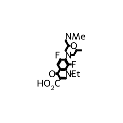 CCn1cc(C(=O)O)c(=O)c2cc(F)c(N3CC(C)OC(CNC)C3)c(F)c21